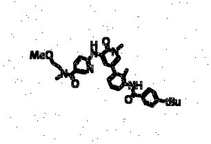 COCCN(C)C(=O)c1ccc(Nc2cc(-c3cccc(NC(=O)c4ccc(C(C)(C)C)cc4)c3C)cn(C)c2=O)nc1